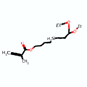 C=C(C)C(=O)OCCCC[SiH2]CC(OCC)OCC